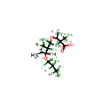 CCC(C)(OC(F)(F)C(F)(F)C(F)(F)F)C(F)(C(F)(F)F)C(F)(F)OC(C)C(F)(C(=O)O)C(F)(F)F